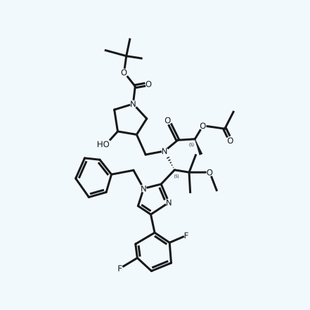 COC(C)(C)[C@H](c1nc(-c2cc(F)ccc2F)cn1Cc1ccccc1)N(CC1CN(C(=O)OC(C)(C)C)CC1O)C(=O)[C@H](C)OC(C)=O